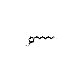 CCCCCCCn1cnc(C)c1